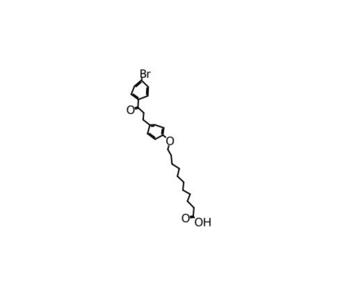 O=C(O)CCCCCCCCCCOc1ccc(CCC(=O)c2ccc(Br)cc2)cc1